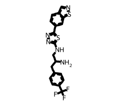 NC(CNc1nnc(-c2ccc3cnsc3c2)s1)Cc1ccc(C(F)(F)F)cc1